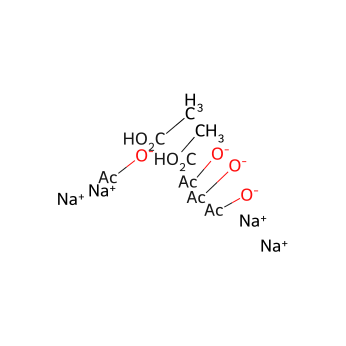 CC(=O)O.CC(=O)O.CC(=O)[O-].CC(=O)[O-].CC(=O)[O-].CC(=O)[O-].[Na+].[Na+].[Na+].[Na+]